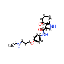 CC(C)(C)CNCCCOc1ccc(NC(=O)c2c[nH]c3c2C(=O)CCCC3)cc1